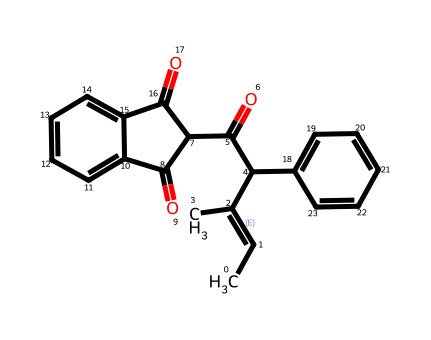 C/C=C(\C)C(C(=O)C1C(=O)c2ccccc2C1=O)c1ccccc1